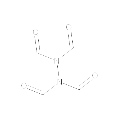 O=CN(C=O)N(C=O)C=O